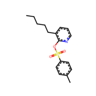 CCCCCc1cccnc1OS(=O)(=O)c1ccc(C)cc1